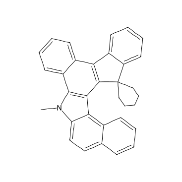 Cn1c2ccc3ccccc3c2c2c3c(c4ccccc4c21)-c1ccccc1C31CCCCC1